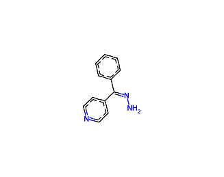 NN=C(c1ccccc1)c1ccncc1